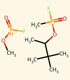 CC(OP(C)(=O)F)C(C)(C)C.CO[PH](=O)F